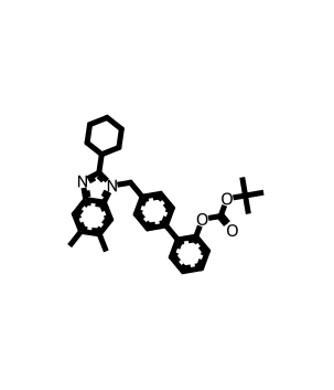 Cc1cc2nc(C3CCCCC3)n(Cc3ccc(-c4ccccc4OC(=O)OC(C)(C)C)cc3)c2cc1C